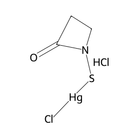 Cl.O=C1CCN1[S][Hg][Cl]